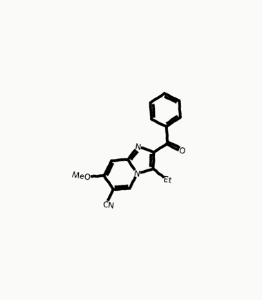 CCc1c(C(=O)c2ccccc2)nc2cc(OC)c(C#N)cn12